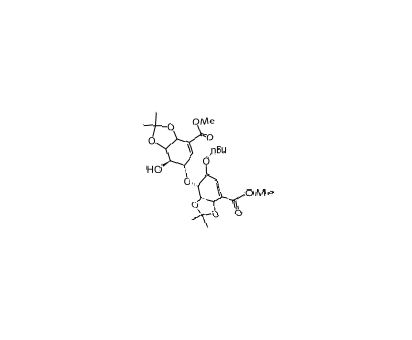 CCCCOC1C=C(C(=O)OC)C2OC(C)(C)OC2[C@@H]1OC1C=C(C(=O)OC)C2OC(C)(C)OC2[C@@H]1O